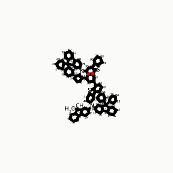 CC1(C)c2ccccc2-c2ccc(N(c3ccc4c(c3)C(c3ccccc3)(c3ccccc3)c3ccccc3-4)c3ccc4sc5c(-c6cccc(-c7ccccc7N(c7ccc8c(c7)C(c7ccccc7)(c7ccccc7)c7ccccc7-8)c7ccc8sc9ccccc9c8c7)c6)cccc5c4c3)cc21